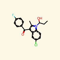 CCC(O)n1c(C)c(C(=O)c2ccc(F)cc2)c2cc(Cl)ccc21